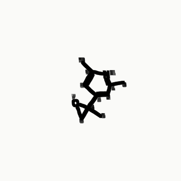 Cc1cc(C2(C)CO2)cc(C)n1